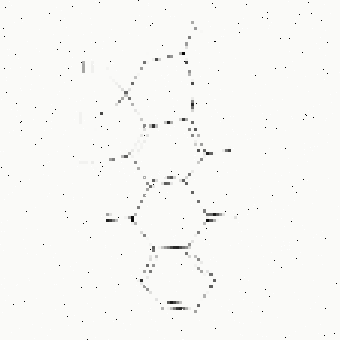 CC(=O)C1Cc2c(O)c3c(c(O)c2C(N)(O)C1)C(=O)c1ccccc1C3=O